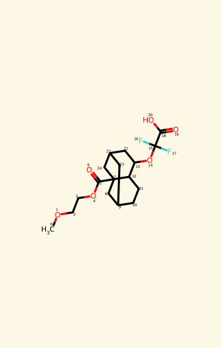 COCCOC(=O)C12CC3CCC1C(OC(F)(F)C(=O)O)CC(C3)C2